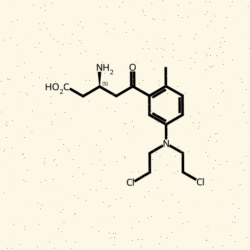 Cc1ccc(N(CCCl)CCCl)cc1C(=O)C[C@H](N)CC(=O)O